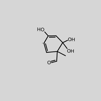 CC1(C=O)C=[C]C(O)=CC1(O)O